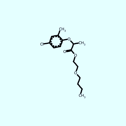 CCCCOCCOC(=O)C(C)Oc1ccc(Cl)cc1C